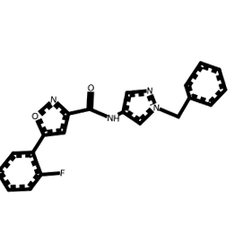 O=C(Nc1cnn(Cc2ccccc2)c1)c1cc(-c2ccccc2F)on1